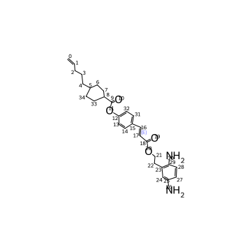 C=CCCCC1CCC(C(=O)Oc2ccc(/C=C/C(=O)OCCc3cc(N)ccc3N)cc2)CC1